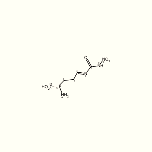 N[C@@H](CCC=NC(=O)N[N+](=O)[O-])C(=O)O